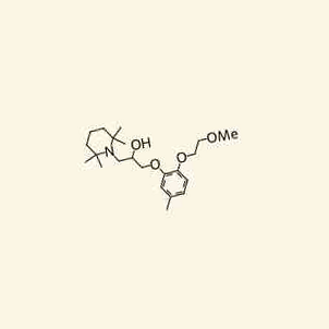 COCCOc1ccc(C)cc1OCC(O)CN1C(C)(C)CCCC1(C)C